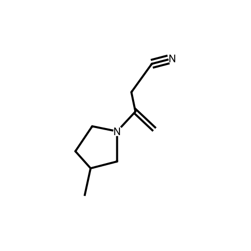 C=C(CC#N)N1CCC(C)C1